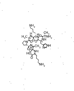 C[C@H](N)C(=O)N[C@@H](Cc1c[nH]cn1)C(=O)N[C@@H](CCCCN)C(=O)N[C@@H](C)C(=O)N1CCC[C@H]1C(=O)N[C@@H](C)C(=O)N[C@@H](CCCCN)C(=O)O